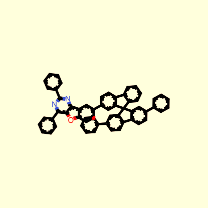 c1ccc(-c2ccc3c(c2)C2(c4ccccc4-c4ccc(-c5ccc6oc7c(-c8ccccc8)nc(-c8ccccc8)nc7c6c5)cc42)c2cc(-c4ccccc4)ccc2-3)cc1